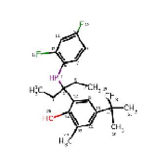 CCC(CC)(Pc1ccc(F)cc1F)c1cc(C(C)(C)C)cc(C)c1O